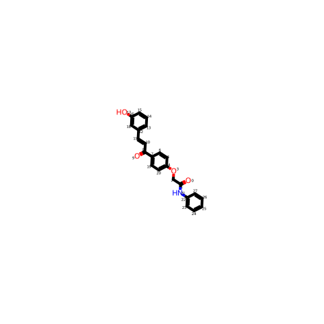 O=C(COc1ccc(C(=O)C=Cc2cccc(O)c2)cc1)Nc1ccccc1